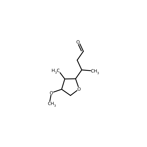 COC1COC(C(C)CC=O)C1C